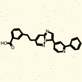 O=C(O)c1cccc(CCc2cnn3c(-c4ccnc(-c5ccccc5)c4)cnc3c2)c1